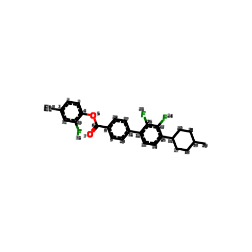 CCc1ccc(OC(=O)c2ccc(-c3ccc(C4CCC(C)CC4)c(F)c3F)cc2)c(F)c1